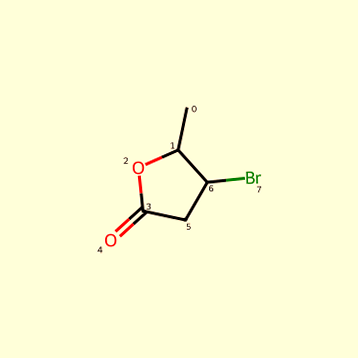 CC1OC(=O)CC1Br